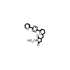 O=C(O)N1C(=O)CC(CC2CCC=C(c3nnc(C4=CCCCO4)nn3)O2)C1=O